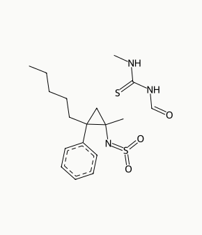 CCCCCC1(c2ccccc2)CC1(C)N=S(=O)=O.CNC(=S)NC=O